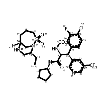 O=C(O)N[C@H](C(=O)N[C@H]1CCC[C@@H]1CC[C@H]1CN[C@@H]2CCCS(=O)(=O)N1C2)[C@H](c1cncc(C(F)(F)F)c1)c1ccc(Cl)c(F)c1